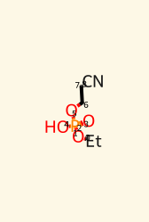 CCOP(=O)(O)OCCC#N